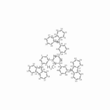 CN1C(c2cccc(-n3c4ccccc4c4ccccc43)c2)=NC(c2cccc(-n3c4ccccc4c4ccccc43)c2)=NC1c1cccc(-n2c3ccccc3c3ccccc32)c1